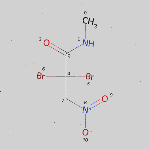 CNC(=O)C(Br)(Br)C[N+](=O)[O-]